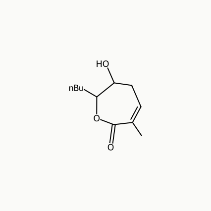 CCCCC1OC(=O)C(C)=CCC1O